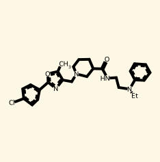 CCN(CCNC(=O)C1CCCN(Cc2nc(-c3ccc(Cl)cc3)oc2C)C1)c1ccccc1